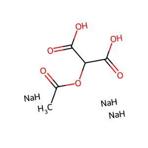 CC(=O)OC(C(=O)O)C(=O)O.[NaH].[NaH].[NaH]